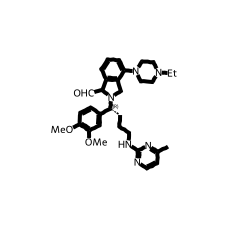 CCN1CCN(c2cccc3c2CN([C@H](CCCNc2nccc(C)n2)c2ccc(OC)c(OC)c2)C3C=O)CC1